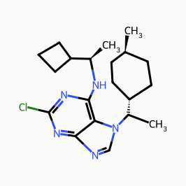 CC([C@H]1CC[C@H](C)CC1)n1cnc2nc(Cl)nc(N[C@H](C)C3CCC3)c21